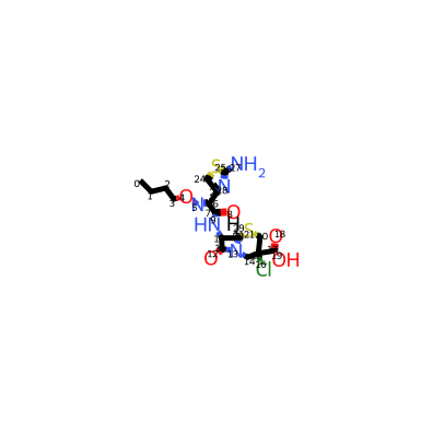 CCCCON=C(C(=O)NC1C(=O)N2CC(Cl)(C(=O)O)CS[C@H]12)c1csc(N)n1